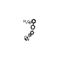 COc1ccccc1C1CCN([C@@H]2CCC3(C2)CN(c2ncco2)C3)CC1